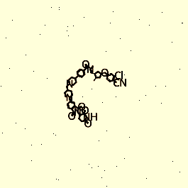 C[C@@H]1C[C@H](Oc2ccc(C#N)c(Cl)c2)C[C@@H]1CN(C)C(=O)c1ccc(C2CCN(CC3CCN(c4ccc5c(c4)C(=O)N(C4CCC(=O)NC4=O)C5=O)CC3)CC2)cc1